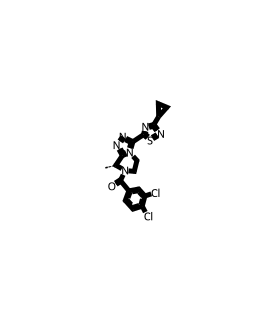 C[C@@H]1c2nnc(-c3nc(C4CC4)ns3)n2CCN1C(=O)c1ccc(Cl)c(Cl)c1